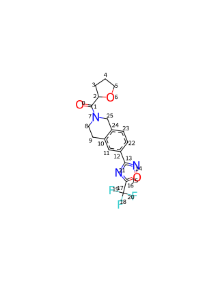 O=C(C1CCCO1)N1CCc2cc(-c3noc(C(F)(F)F)n3)ccc2C1